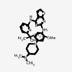 COc1cc(N2CCC(N(C)C)CC2)ccc1Nc1nc(Nc2cccc(C(C)(C)O)n2)c2ccsc2n1